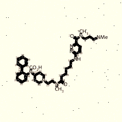 CNCCCN(C)C(=O)c1ccc(NCCCCCC(=O)N(C)CCN2CCC(N(C(=O)O)c3ccccc3-c3ccccc3)CC2)nn1